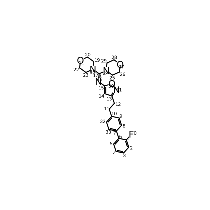 Fc1ccccc1-c1ccc(CCc2cc(N=C(N3CCOCC3)N3CCOCC3)on2)cc1